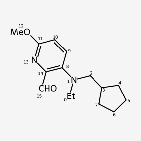 CCN(CC1CCCC1)c1ccc(OC)nc1C=O